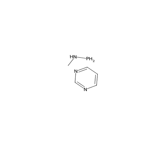 CNP.c1cncnc1